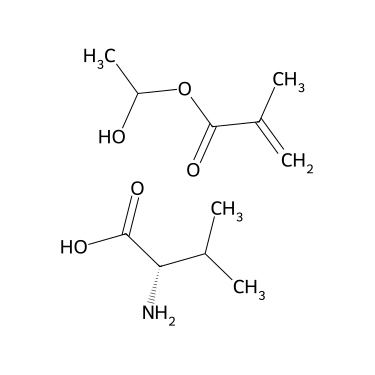 C=C(C)C(=O)OC(C)O.CC(C)[C@H](N)C(=O)O